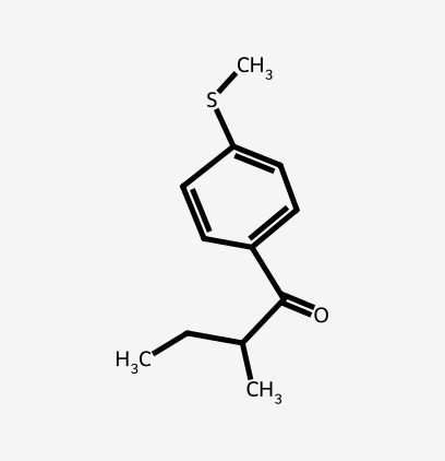 CCC(C)C(=O)c1ccc(SC)cc1